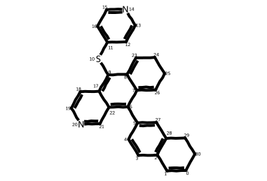 C1=Cc2ccc(-c3c4c(c(Sc5ccncc5)c5ccncc35)=CCCC=4)cc2CC1